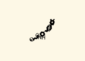 COCCCC(=O)N[C@H]1CC[C@H](CCN2CCN(c3ccc(C)c(C)c3)CC2)CC1